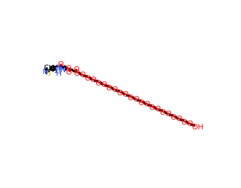 Cc1ncsc1-c1ccc(CNC(=O)C2CC(OC(=O)CCC(=O)OCCOCCOCCOCCOCCOCCOCCOCCOCCOCCOCCOCCOCCOCCOCCOCCOCCOCCOCCOCCOCCOCCO)CN2)cc1